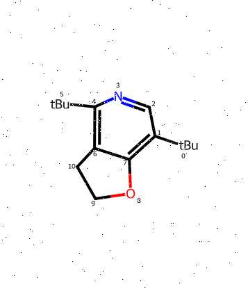 CC(C)(C)c1cnc(C(C)(C)C)c2c1OCC2